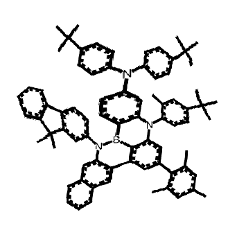 Cc1cc(C)c(-c2cc3c4c(c2)N(c2ccc(C(C)(C)C)cc2C)c2cc(N(c5ccc(C(C)(C)C)cc5)c5ccc(C(C)(C)C)cc5)ccc2B4N(c2ccc4c(c2)C(C)(C)c2ccccc2-4)c2cc4ccccc4cc2-3)c(C)c1